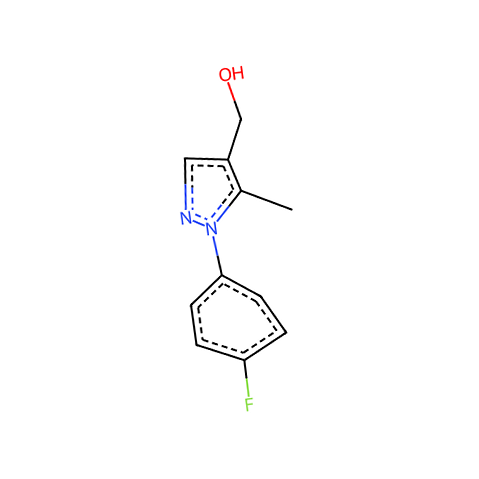 Cc1c(CO)cnn1-c1ccc(F)cc1